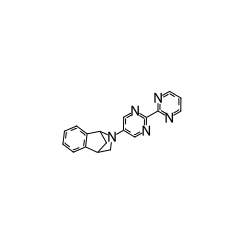 c1cnc(-c2ncc(N3CC4CC3c3ccccc34)cn2)nc1